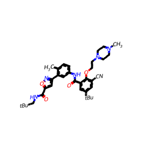 Cc1ccc(NC(=O)c2cc(C(C)(C)C)cc(C#N)c2OCCN2CCN(C)CC2)cc1-c1cc(C(=O)NCC(C)(C)C)on1